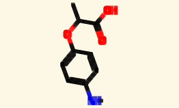 CC(Oc1ccc([NH])cc1)C(=O)O